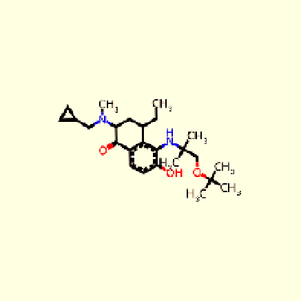 CCC1CC(N(C)CC2CC2)C(=O)c2ccc(O)c(NC(C)(C)COC(C)(C)C)c21